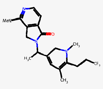 CNc1nccc2c1CN(C(C)C1=CC(C)=C(CCC(F)(F)F)N(C)C1)C2=O